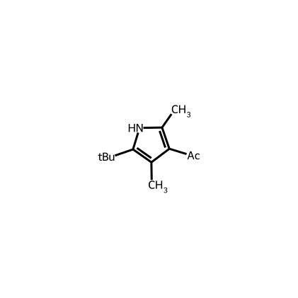 CC(=O)c1c(C)[nH]c(C(C)(C)C)c1C